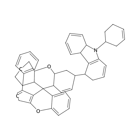 C1=CC2C3=C(C=CCC3C3C=CC4C(C3)OC3CCCCC3C43C4=C(CCC=C4c4ccccc4)Oc4ccccc43)N(C3CC=CCC3)C2C=C1